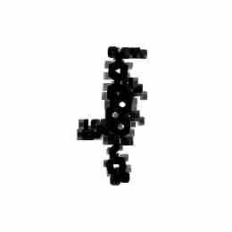 CC[C@]1(NCCN2CCS(=O)(=O)CC2)CCC2[C@H](CC[C@@H]3[C@@]4(C)CC=C(c5ccc(C(=O)OC)cc5)C(C)(C)[C@@H]4CC[C@@]23C)[C@H]1CC(C)(O)CO